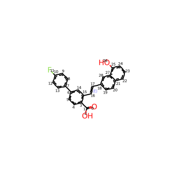 O=C(O)c1ccc(-c2ccc(F)cc2)cc1/C=C/c1ccc2cccc(O)c2c1